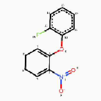 O=[N+]([O-])C1=CCCC=C1Oc1ccccc1F